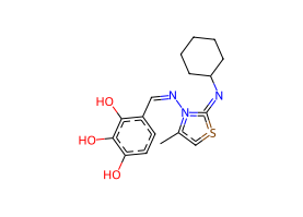 Cc1cs/c(=N/C2CCCCC2)n1/N=C\c1ccc(O)c(O)c1O